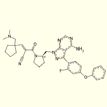 CN(C)CC1(C=C(C#N)C(=O)N2CCC[C@@H]2Cn2nc(-c3ccc(Oc4ccccc4)cc3F)c3c(N)ncnc32)CCCC1